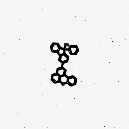 CC1(c2ccccc2)c2ccccc2-c2cc(-c3cc4c5c(cccc5c3)Oc3ccccc3-4)ccc21